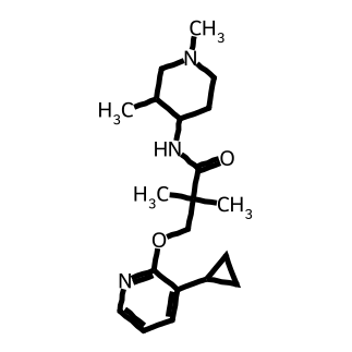 CC1CN(C)CCC1NC(=O)C(C)(C)COc1ncccc1C1CC1